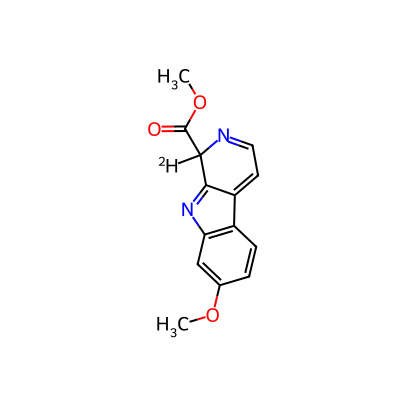 [2H]C1(C(=O)OC)N=CC=C2C1=Nc1cc(OC)ccc12